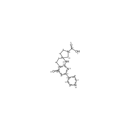 O=C(O)N1CCC2(CCn3c(nc(-c4ccncc4)cc3=O)N2)C1